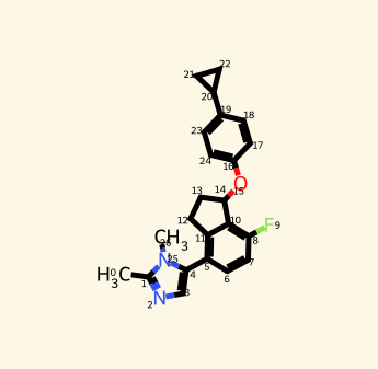 Cc1ncc(-c2ccc(F)c3c2CCC3Oc2ccc(C3CC3)cc2)n1C